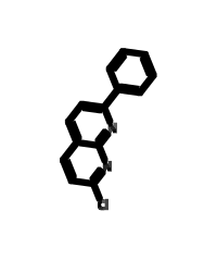 Clc1ccc2ccc(-c3ccccc3)nc2n1